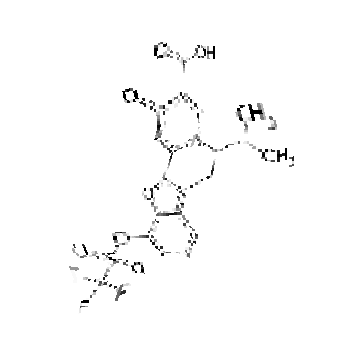 CC(C)C1Cc2c(oc3c(OS(=O)(=O)C(F)(F)F)cccc23)-c2cc(=O)c(C(=O)O)cn21